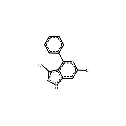 Nc1n[nH]c2cc(Cl)nc(-c3ccccc3)c12